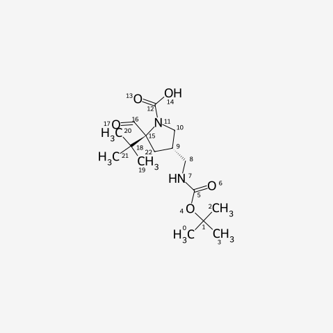 CC(C)(C)OC(=O)NC[C@H]1CN(C(=O)O)[C@](C=O)(C(C)(C)C)C1